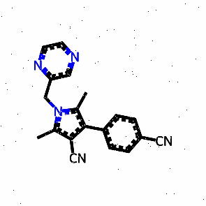 Cc1c(C#N)c(-c2ccc(C#N)cc2)c(C)n1Cc1cnccn1